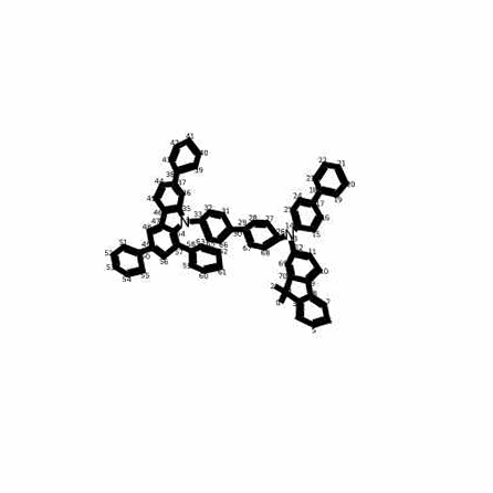 CC1(C)c2ccccc2-c2ccc(N(c3ccc(-c4ccccc4)cc3)c3ccc(-c4ccc(-n5c6cc(-c7ccccc7)ccc6c6cc(-c7ccccc7)cc(-c7ccccc7)c65)cc4)cc3)cc21